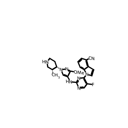 COc1nn([C@H]2CCNC[C@H]2C)cc1Nc1ncc(F)c(-n2ccc3c(C#N)cccc32)n1